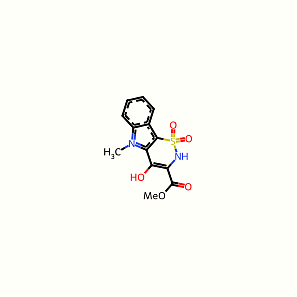 COC(=O)C1=C(O)c2c(c3ccccc3n2C)S(=O)(=O)N1